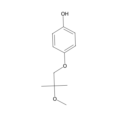 COC(C)(C)COc1ccc(O)cc1